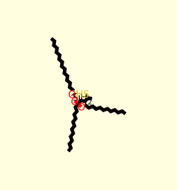 CCCCCCCCCCCCCCCCO[SiH2]OC(CCCCCCCCCCCCC)(CCC(C)S)OCCCCCCCCCCCC